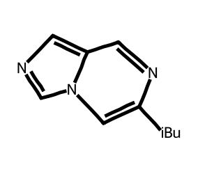 CCC(C)c1cn2cncc2cn1